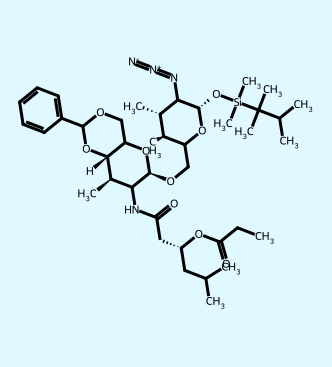 CCC(=O)O[C@@H](CC(=O)NC1[C@H](OCC2O[C@@H](O[Si](C)(C)C(C)(C)C(C)C)C(N=[N+]=[N-])[C@@H](C)[C@@H]2C)OC2COC(c3ccccc3)O[C@H]2[C@@H]1C)CC(C)C